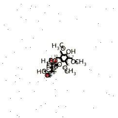 COCc1c(O)c(COC)c(COC)c(OS(=O)(=O)C(F)(F)C(F)(F)C(F)(F)S(=O)(=O)O)c1COC